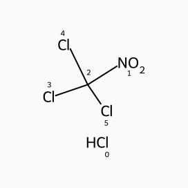 Cl.O=[N+]([O-])C(Cl)(Cl)Cl